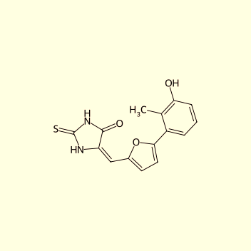 Cc1c(O)cccc1-c1ccc(C=C2NC(=S)NC2=O)o1